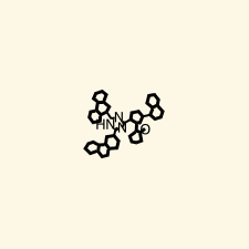 c1ccc2c(-c3ccc(C4=NC(c5cc6ccccc6c6ccccc56)NC(c5ccc6ccc7ccccc7c6c5)=N4)c4c3oc3ccccc34)cccc2c1